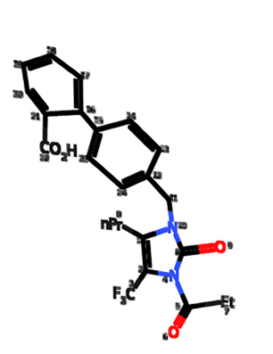 CCCc1c(C(F)(F)F)n(C(=O)CC)c(=O)n1Cc1ccc(-c2ccccc2C(=O)O)cc1